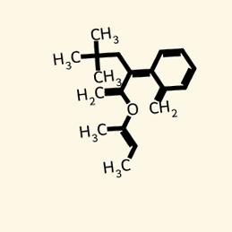 C=C(O/C(C)=C/C)/C(CC(C)(C)C)=c1/ccccc1=C